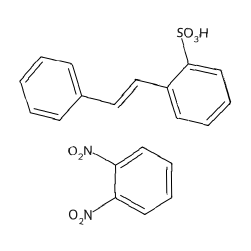 O=S(=O)(O)c1ccccc1C=Cc1ccccc1.O=[N+]([O-])c1ccccc1[N+](=O)[O-]